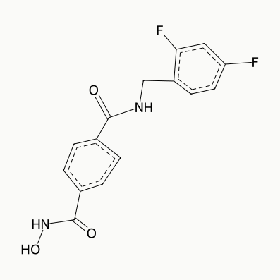 O=C(NO)c1ccc(C(=O)NCc2ccc(F)cc2F)cc1